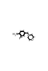 Nc1ccc(CN2CCOCC2)cc1F